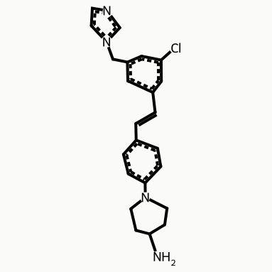 NC1CCN(c2ccc(/C=C/c3cc(Cl)cc(Cn4ccnc4)c3)cc2)CC1